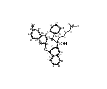 CN(C)CCCCC1(O)c2cc(c3ccccc3c2)Oc2nc3ccc(Br)cc3cc2C1c1ccccc1